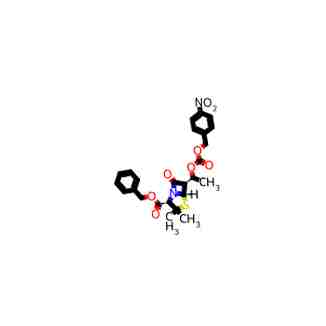 CC(OC(=O)OCc1ccc([N+](=O)[O-])cc1)[C@H]1C(=O)N2[C@@H]1SC(C)(C)[C@@H]2C(=O)OCc1ccccc1